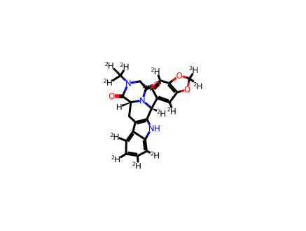 [2H]c1c([2H])c([C@]2([2H])c3[nH]c4c([2H])c([2H])c([2H])c([2H])c4c3C[C@@H]3C(=O)N(C([2H])([2H])[2H])CC(=O)N32)c([2H])c2c1OC([2H])([2H])O2